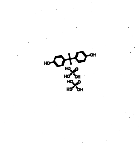 CC(C)(c1ccc(O)cc1)c1ccc(O)cc1.O=P(O)(O)O.O=P(O)(O)O